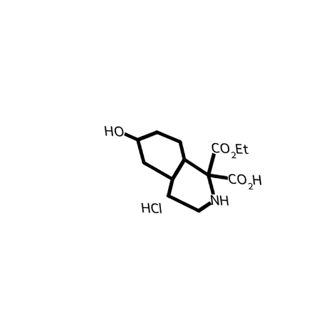 CCOC(=O)C1(C(=O)O)NCCC2CC(O)CCC21.Cl